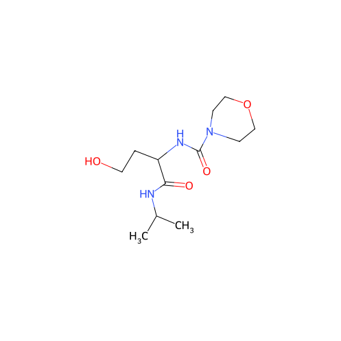 CC(C)NC(=O)C(CCO)NC(=O)N1CCOCC1